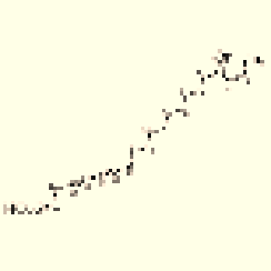 CCC/C=C\C(Br)=C/CCCCCCC/C=C/C#CC#CCCC(=O)O